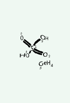 O=S(=O)(O)O.[GeH4]